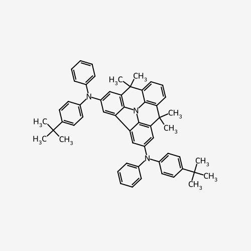 CC(C)(C)c1ccc(N(c2ccccc2)c2cc3c4c(c2)c2cc(N(c5ccccc5)c5ccc(C(C)(C)C)cc5)cc5c2n4-c2c(cccc2C5(C)C)C3(C)C)cc1